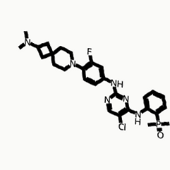 CN(C)C1CC2(CCN(c3ccc(Nc4ncc(Cl)c(Nc5ccccc5P(C)(C)=O)n4)cc3F)CC2)C1